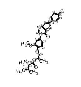 COc1cc(-n2cnc3cc(-c4ccc(Cl)cc4)sc3c2=O)ccc1OCC(C)OC(=O)[C@@H](N)C(C)C